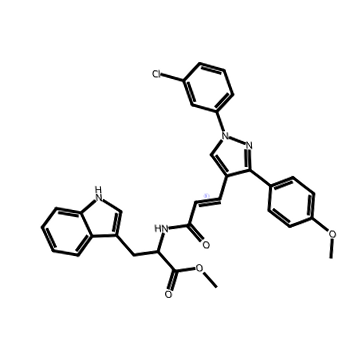 COC(=O)C(Cc1c[nH]c2ccccc12)NC(=O)/C=C/c1cn(-c2cccc(Cl)c2)nc1-c1ccc(OC)cc1